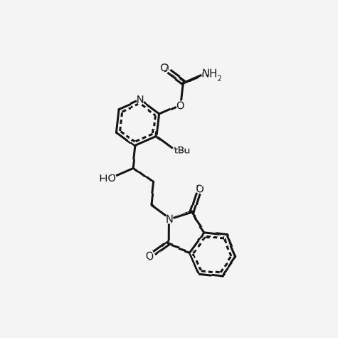 CC(C)(C)c1c(C(O)CCN2C(=O)c3ccccc3C2=O)ccnc1OC(N)=O